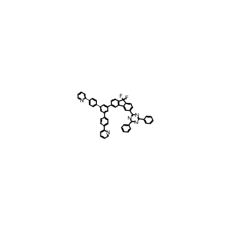 FC1(F)c2ccc(-c3cc(-c4ccc(-c5ccccn5)cc4)cc(-c4ccc(-c5ccccn5)cc4)c3)cc2-c2cc(-c3nc(-c4ccccc4)nc(-c4ccccc4)n3)ccc21